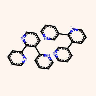 c1ccc(-c2cccnc2-c2ccccn2)nc1.c1cncc(-c2cccnc2-c2cccnc2)c1